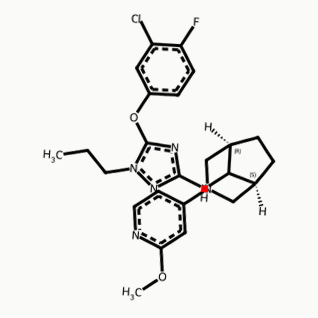 CCCn1nc(NC2[C@@H]3CC[C@H]2CN(c2ccnc(OC)c2)C3)nc1Oc1ccc(F)c(Cl)c1